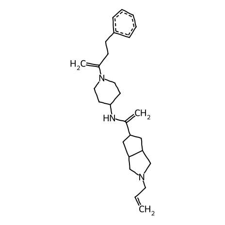 C=CCN1CC2CC(C(=C)NC3CCN(C(=C)CCc4ccccc4)CC3)CC2C1